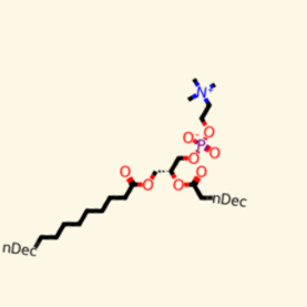 CCCCCCCCCCCCCCCCCCC(=O)OC[C@H](COP(=O)([O-])OCC[N+](C)(C)C)OC(=O)CCCCCCCCCCC